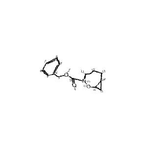 O=C(OCc1ccccc1)N1CCCC2CC2O1